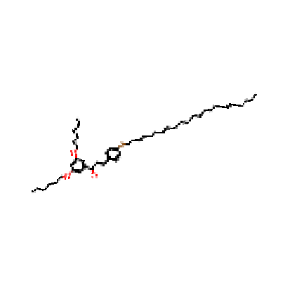 CCCCCCCCCCCCCCCCCCCCCCSc1ccc(C=CC(=O)c2cc(OCCCCCC)cc(OCCCCCC)c2)cc1